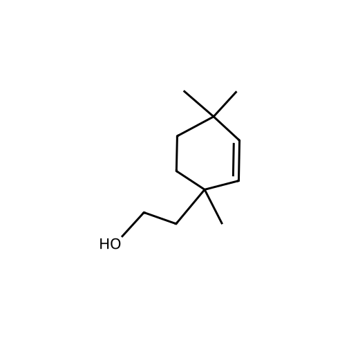 CC1(C)C=CC(C)(CCO)CC1